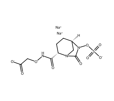 O=C([O-])CONC(=O)[C@@H]1CC[C@@H]2CN1C(=O)N2OS(=O)(=O)[O-].[Na+].[Na+]